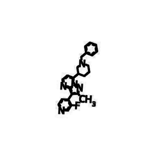 Cc1nn2c(C3CCCN(Cc4ccccc4)C3)ccnc2c1-c1ccncc1F